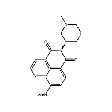 CNc1ccc2c3c(cccc13)C(=O)N([C@@H]1CCCN(C)C1)C2=O